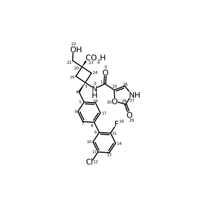 O=C(N[C@]1(Cc2ccc(-c3cc(Cl)ccc3F)cc2)C[C@@](CO)(C(=O)O)C1)c1c[nH]c(=O)o1